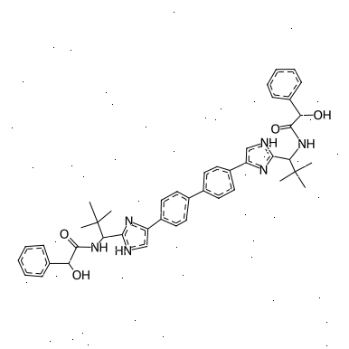 CC(C)(C)C(NC(=O)C(O)c1ccccc1)c1nc(-c2ccc(-c3ccc(-c4c[nH]c(C(NC(=O)C(O)c5ccccc5)C(C)(C)C)n4)cc3)cc2)c[nH]1